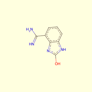 N=C(N)c1cccc2[nH]c(O)nc12